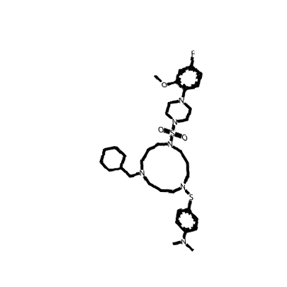 COc1cc(F)ccc1N1CCN(S(=O)(=O)N2CCCN(CC3CCCCC3)CCCN(Sc3ccc(N(C)C)cc3)CCC2)CC1